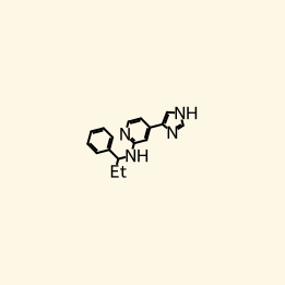 CCC(Nc1cc(-c2c[nH]cn2)ccn1)c1ccccc1